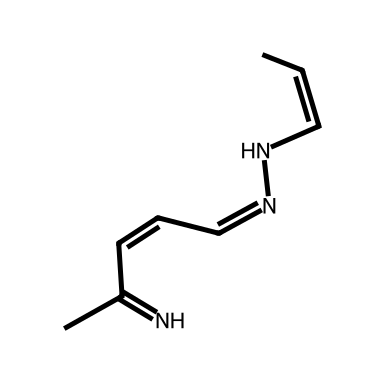 C/C=C\N/N=C\C=C/C(C)=N